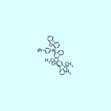 CC(C)c1ccc(N(c2cc3c(c4ccccc24)-c2cc4c(cc2C3(C)C)-c2ccccc2C4(C)C)c2cccc3c2oc2ccccc23)cc1